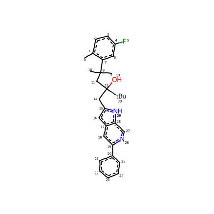 Cc1ccc(F)cc1C(C)(C)CC(O)(Cc1cc2cc(-c3ccccc3)ncc2[nH]1)C(C)(C)C